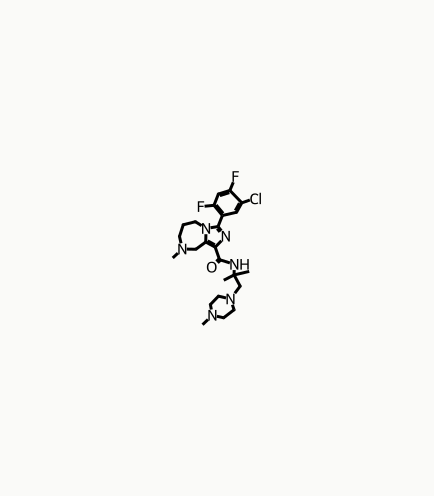 CN1CCN(CC(C)(C)NC(=O)c2nc(-c3cc(Cl)c(F)cc3F)n3c2CN(C)CCC3)CC1